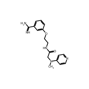 CN(CC(=O)NCCOc1cccc(C(=N)N)c1)c1ccncc1